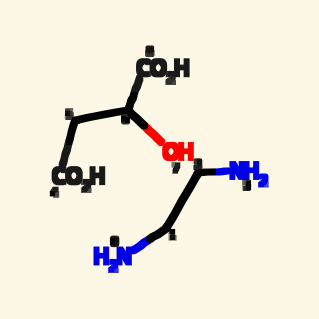 NCCN.O=C(O)CC(O)C(=O)O